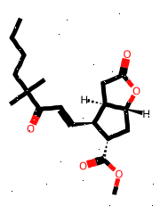 CCCCC(C)(C)C(=O)C=C[C@H]1[C@H]2CC(=O)O[C@@H]2C[C@@H]1C(=O)OC